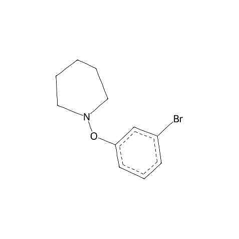 Brc1cccc(ON2CCCCC2)c1